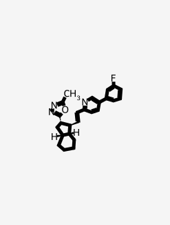 Cc1nnc([C@H]2C[C@H]3CCCC[C@H]3[C@@H]2C=Cc2ccc(-c3cccc(F)c3)cn2)o1